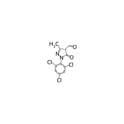 CC1=NN(c2c(Cl)cc(Cl)cc2Cl)C(=O)C1C=O